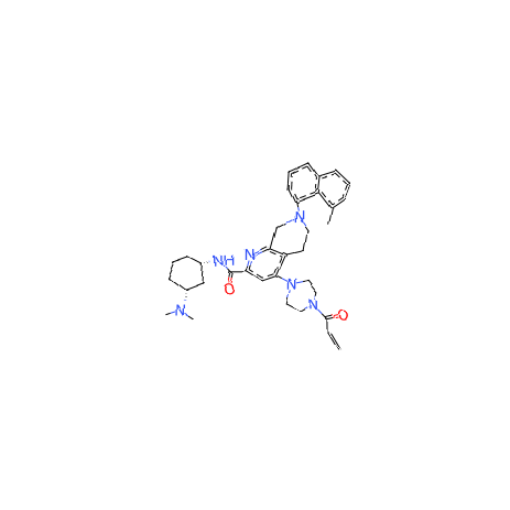 C=CC(=O)N1CCN(c2cc(C(=O)N[C@H]3CCC[C@@H](N(C)C)C3)nc3c2CCN(c2cccc4cccc(C)c24)C3)CC1